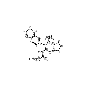 BOC(c1ccc2c(c1)OCCO2)C(CN1CCCC1)NC(=O)CCCCCCC